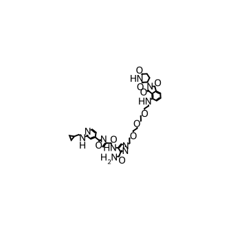 NC(=O)c1nn(CCOCCOCCOCCNc2cccc3c2C(=O)N(C2CCC(=O)NC2=O)C3=O)cc1NC(=O)c1coc(-c2ccnc(NCC3CC3)c2)n1